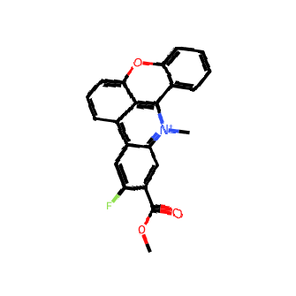 COC(=O)c1cc2c(cc1F)c1cccc3c1c([n+]2C)-c1ccccc1O3